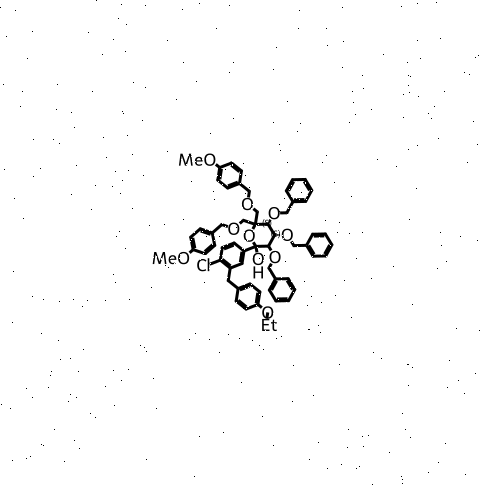 CCOc1ccc(Cc2cc(C3(O)OC(COCc4ccc(OC)cc4)(COCc4ccc(OC)cc4)[C@@H](OCc4ccccc4)[C@H](OCc4ccccc4)C3OCc3ccccc3)ccc2Cl)cc1